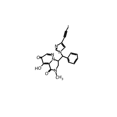 CN1CC(C(c2ccccc2)n2cnc(C#CI)c2)n2ncc(=O)c(O)c2C1=O